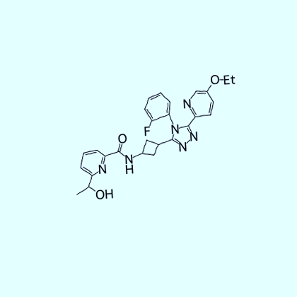 CCOc1ccc(-c2nnc(C3CC(NC(=O)c4cccc(C(C)O)n4)C3)n2-c2ccccc2F)nc1